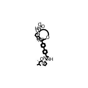 COC(=O)N[C@H]1CCCCCOCc2[nH]c(nc2-c2ccc(-c3ccc(-c4c[nH]c([C@@H]5CCCN5C(=O)[C@@H](C)C(C)C)n4)cc3)cc2)[C@@H]2CCCN2C1=O